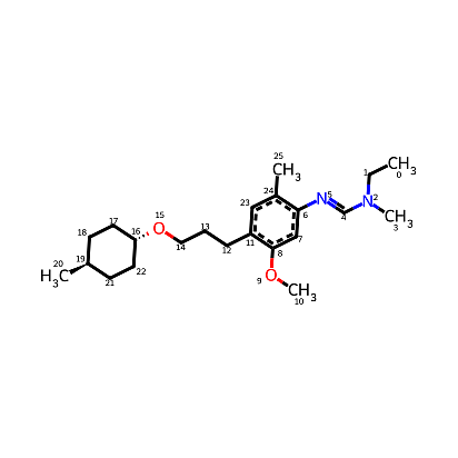 CCN(C)/C=N/c1cc(OC)c(CCCO[C@H]2CC[C@H](C)CC2)cc1C